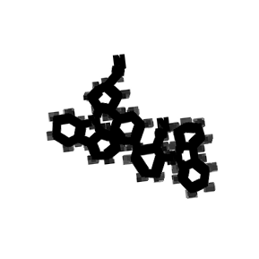 N#Cc1ccc(-n2c3c(c4ccccc42)CCC=C3)c(-c2ccc(-c3cccc(-n4c5ccccc5c5ccccc54)c3C#N)cc2)c1